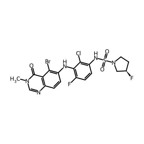 Cn1cnc2ccc(Nc3c(F)ccc(NS(=O)(=O)N4CC[C@@H](F)C4)c3Cl)c(Br)c2c1=O